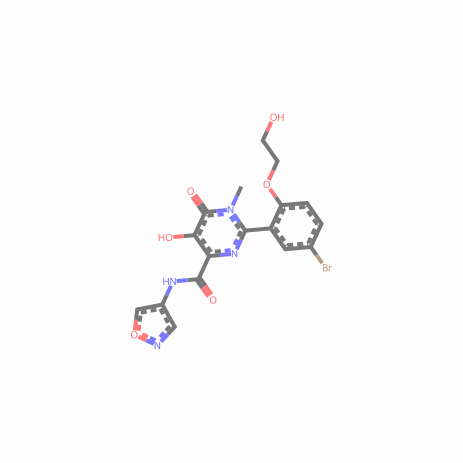 Cn1c(-c2cc(Br)ccc2OCCO)nc(C(=O)Nc2cnoc2)c(O)c1=O